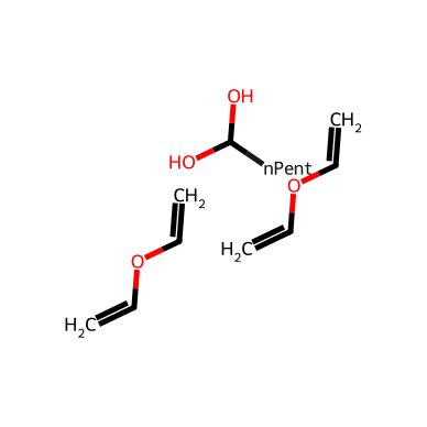 C=COC=C.C=COC=C.CCCCCC(O)O